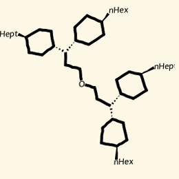 CCCCCCC[C@H]1CC[C@H](C(CCOCCC([C@H]2CC[C@H](CCCCCC)CC2)[C@H]2CC[C@H](CCCCCCC)CC2)[C@H]2CC[C@H](CCCCCC)CC2)CC1